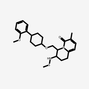 COc1ccccc1C1CCC(OCC2C(NSC)CCc3ccc(C)c(=O)n32)CC1